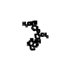 Cc1cc(Nc2ncnc3cccc(F)c23)ccc1Oc1ccc2c(c1)ncn2C